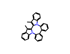 Cc1c2ccccc2n2c3ccccc3c3ccccc3n3c4ccccc4c(C)c3c12